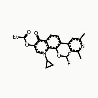 CCC(=O)Oc1cn(C2CC2)c2c(OC(F)F)c(-c3cc(C)nc(C)c3)ccc2c1=O